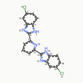 Clc1ccc2[nH]c(-c3cccc(-c4nc5cc(Cl)ccc5[nH]4)n3)nc2c1